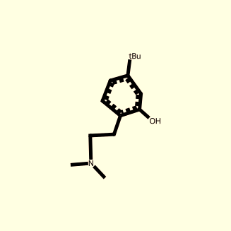 CN(C)CCc1ccc(C(C)(C)C)cc1O